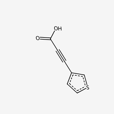 O=C(O)C#Cc1ccsc1